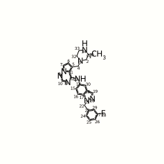 C[C@H]1CN(Cc2ccn3ncnc(Nc4ccc5c(cnn5Cc5cccc(F)c5)c4)c23)CCN1